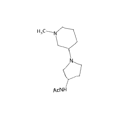 CC(=O)NC1CCN(C2CCCN(C)C2)C1